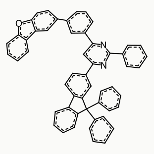 c1ccc(-c2nc(-c3cccc(-c4ccc5oc6ccccc6c5c4)c3)cc(-c3ccc4c(c3)C(c3ccccc3)(c3ccccc3)c3ccccc3-4)n2)cc1